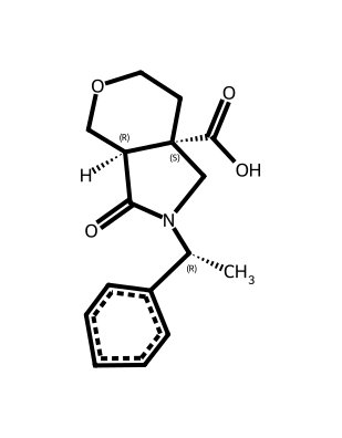 C[C@H](c1ccccc1)N1C[C@]2(C(=O)O)CCOC[C@@H]2C1=O